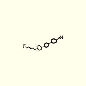 N#Cc1ccc(-c2ccc([C@H]3CC[C@H](CCC=CCF)CC3)cc2)cc1